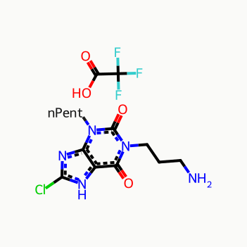 CCCCCn1c(=O)n(CCCN)c(=O)c2[nH]c(Cl)nc21.O=C(O)C(F)(F)F